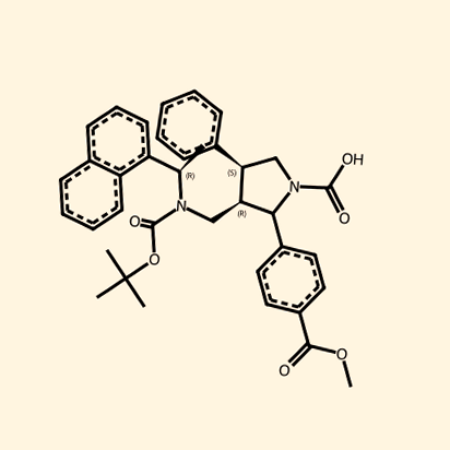 COC(=O)c1ccc(C2[C@@H](CN(C(=O)OC(C)(C)C)[C@H](C)c3cccc4ccccc34)[C@@H](c3ccccc3)CN2C(=O)O)cc1